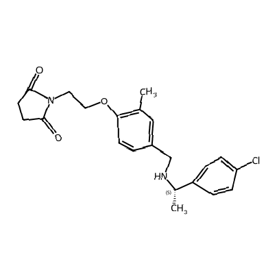 Cc1cc(CN[C@@H](C)c2ccc(Cl)cc2)ccc1OCCN1C(=O)CCC1=O